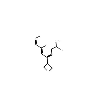 C\N=C/C(C)=C/C(=C\CC(N)NC)C1CNC1